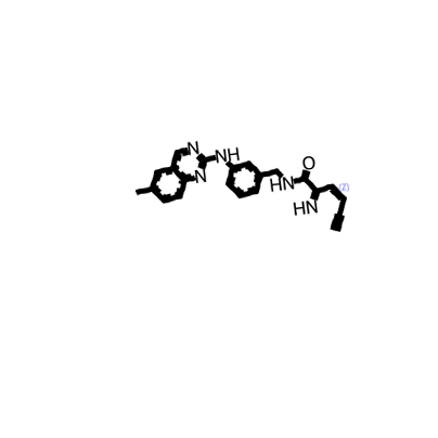 C#C/C=C\C(=N)C(=O)NCc1cccc(Nc2ncc3cc(C)ccc3n2)c1